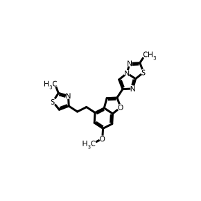 COc1cc(CCc2csc(C)n2)c2cc(-c3cn4nc(C)sc4n3)oc2c1